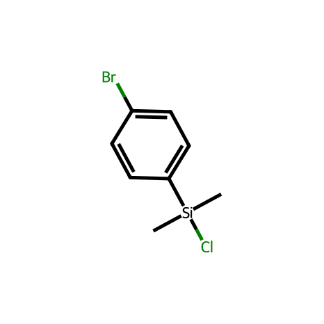 C[Si](C)(Cl)c1ccc(Br)cc1